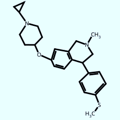 CSc1ccc(C2CN(C)Cc3cc(OC4CCN(C5CC5)CC4)ccc32)cc1